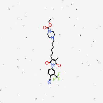 CCOC(=O)N1CCN(CCCCCCC2=C(C)C(=O)N(c3ccc(C#N)c(C(F)(F)F)c3)C2=O)CC1